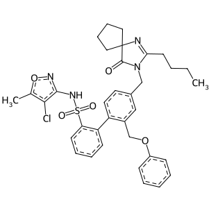 CCCCC1=NC2(CCCC2)C(=O)N1Cc1ccc(-c2ccccc2S(=O)(=O)Nc2noc(C)c2Cl)c(COc2ccccc2)c1